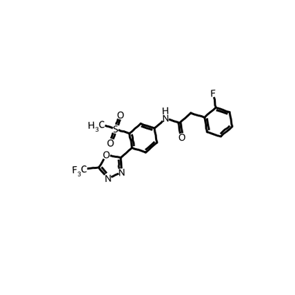 CS(=O)(=O)c1cc(NC(=O)Cc2ccccc2F)ccc1-c1nnc(C(F)(F)F)o1